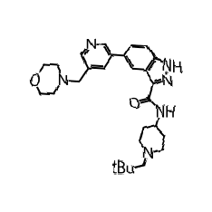 CC(C)(C)CN1CCC(NC(=O)c2n[nH]c3ccc(-c4cncc(CN5CCOCC5)c4)cc23)CC1